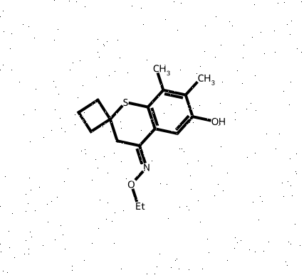 CCO/N=C1\CC2(CCC2)Sc2c1cc(O)c(C)c2C